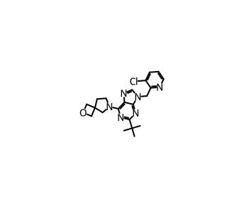 CC(C)(C)c1nc(N2CCC3(COC3)C2)c2ncn(Cc3ncccc3Cl)c2n1